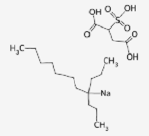 CCCCCCC[C]([Na])(CCC)CCC.O=C(O)CC(C(=O)O)S(=O)(=O)O